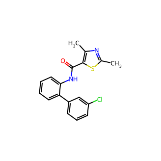 Cc1nc(C)c(C(=O)Nc2ccccc2-c2cccc(Cl)c2)s1